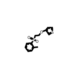 Cc1ccccc1S(=O)(=O)CCOc1ccsc1